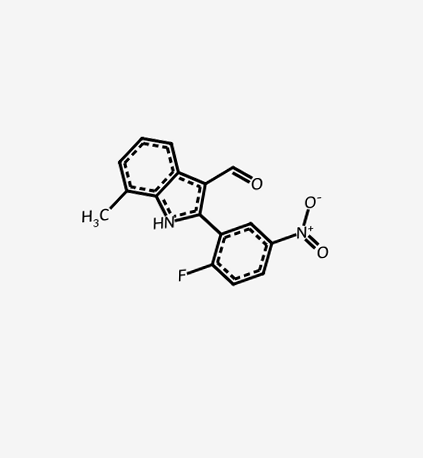 Cc1cccc2c(C=O)c(-c3cc([N+](=O)[O-])ccc3F)[nH]c12